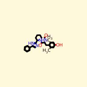 Cc1cc(O)cc(C)c1CC(NC=O)C(=O)N1CCCCC1c1ncc(-c2ccccc2)[nH]1